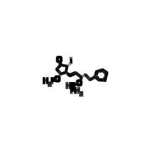 CC[C@H]1C(=O)C[C@@H](OP)[C@@H]1/C=C/[C@H](CCc1ccccc1)OPP